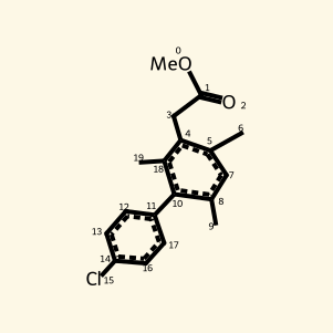 COC(=O)Cc1c(C)cc(C)c(-c2ccc(Cl)cc2)c1C